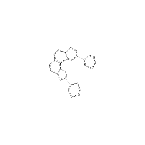 c1ccc(-c2ccc3ccc4ccc5nc(-c6ccccc6)oc5c4c3c2)cc1